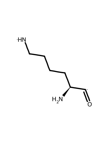 [NH]CCCC[C@H](N)[C]=O